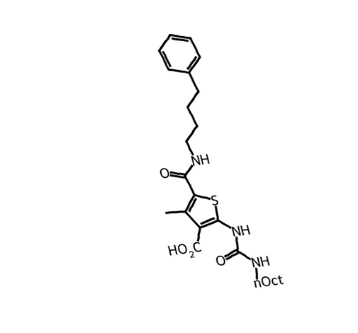 CCCCCCCCNC(=O)Nc1sc(C(=O)NCCCCc2ccccc2)c(C)c1C(=O)O